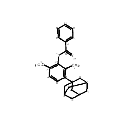 COc1c(C23CC4CC(CC(C4)C2)C3)ccc(C(=O)O)c1OC(=O)c1ccccc1